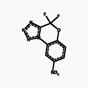 O=[N+]([O-])c1ccc2c(c1)-n1nnnc1C(F)(F)O2